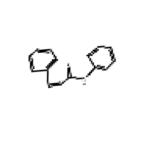 S=C(/C=C\c1ccccc1)Nc1ccccc1